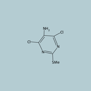 CSc1nc(Cl)c(N)c(Cl)n1